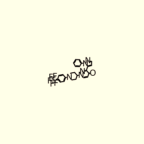 O=c1ccn(C2CCN(c3ccc(S(F)(F)(F)(F)F)cc3)CC2)nc1-c1ccnn1-c1ccccc1